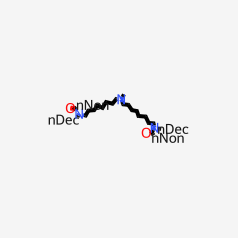 CCCCCCCCCCN(CCCCCCCCN(C)CCCCCCCCN(CCCCCCCCCC)C(=O)CCCCCCCCC)C(=O)CCCCCCCCC